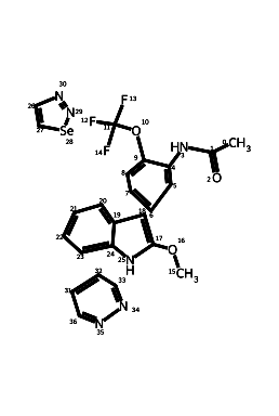 CC(=O)Nc1ccccc1OC(F)(F)F.COc1cc2ccccc2[nH]1.c1c[se]nn1.c1ccnnc1